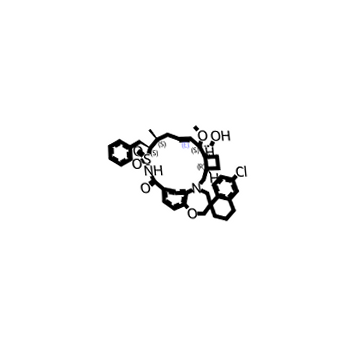 CO[C@]1(CO)/C=C/C[C@H](C)[C@H](Cc2ccccc2)S(=O)(=O)NC(=O)c2ccc3c(c2)N(C[C@@H]2CC[C@H]21)CC1(CCCc2cc(Cl)ccc21)CO3